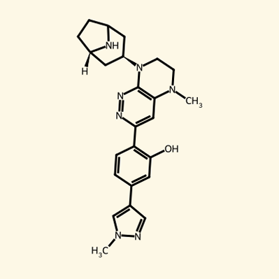 CN1CCN([C@@H]2CC3CC[C@@H](C2)N3)c2nnc(-c3ccc(-c4cnn(C)c4)cc3O)cc21